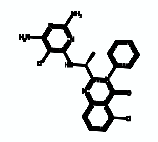 C[C@H](Nc1nc(N)nc(N)c1Cl)c1nc2cccc(Cl)c2c(=O)n1-c1ccccc1